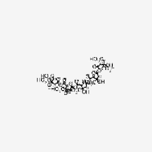 O=C(O)CC(O)(CC(=O)OC(=O)CC(O)(CC(=O)OC(=O)CC(O)(CC(=O)OC(=O)CC(O)(CC(=O)OC(=O)CC(O)(CC(=O)O)C(=O)O)C(=O)O)C(=O)O)C(=O)O)C(=O)O